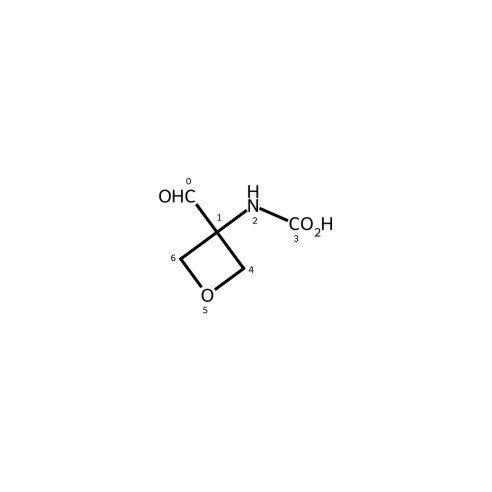 O=CC1(NC(=O)O)COC1